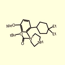 CCC1(CC)CCC(c2ccc(OC)cc2[N+]2(C(=O)OC(C)(C)C)CCNCC2)CC1